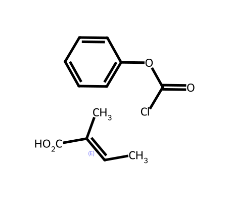 C/C=C(\C)C(=O)O.O=C(Cl)Oc1ccccc1